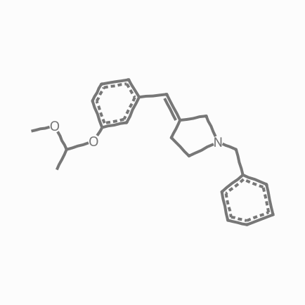 COC(C)Oc1cccc(/C=C2\CCN(Cc3ccccc3)C2)c1